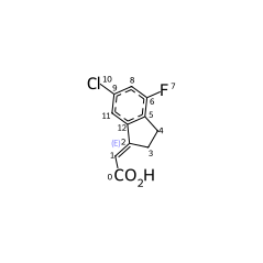 O=C(O)/C=C1\CCc2c(F)cc(Cl)cc21